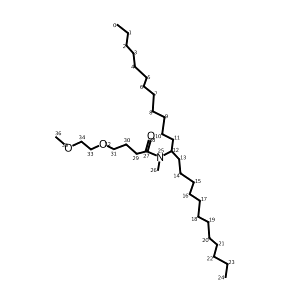 CCCCCCCCCCCCC(CCCCCCCCCCCC)N(C)C(=O)CCCOCCOC